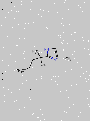 CCCC(C)(C)c1nc(C)c[nH]1